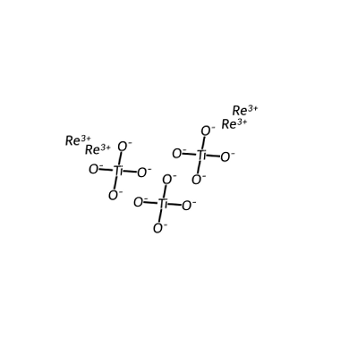 [O-][Ti]([O-])([O-])[O-].[O-][Ti]([O-])([O-])[O-].[O-][Ti]([O-])([O-])[O-].[Re+3].[Re+3].[Re+3].[Re+3]